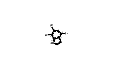 Fc1cc(F)c2cc[nH]c2c1Br